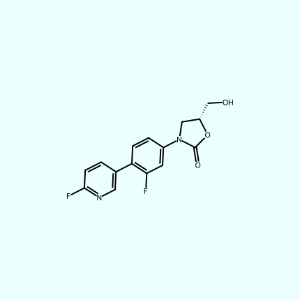 O=C1O[C@@H](CO)CN1c1ccc(-c2ccc(F)nc2)c(F)c1